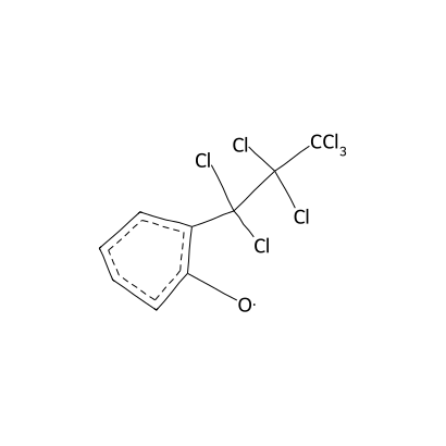 [O]c1ccccc1C(Cl)(Cl)C(Cl)(Cl)C(Cl)(Cl)Cl